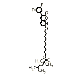 CC(C)CCC(C)(C)C(=O)OCCCCCCCCCCOc1ccc2cc(-c3cc(F)cc(F)c3)c(=O)oc2n1